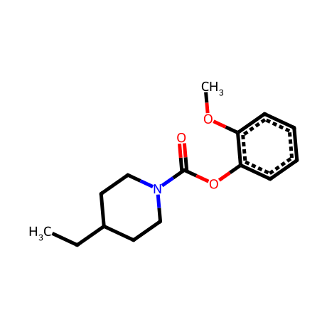 CCC1CCN(C(=O)Oc2ccccc2OC)CC1